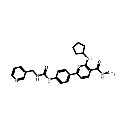 CNC(=O)c1ccc(-c2ccc(NC(=O)NCc3cccnc3)cc2)nc1NC1CCCC1